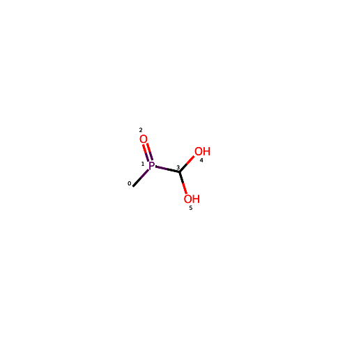 C[P](=O)C(O)O